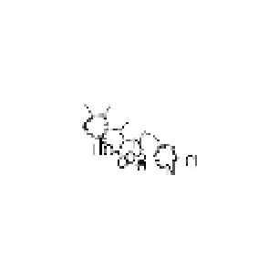 Cc1ccc(F)c(C(C)C(C(=O)O)N2CCc3cc(Cl)ncc3S2(=O)=O)c1C